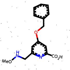 CONCc1cc(OCc2ccccc2)cc(C(=O)O)n1